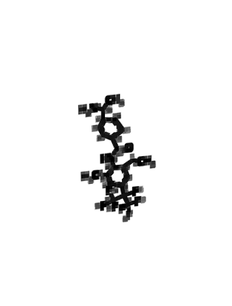 CCc1cc(C(F)(C(F)(F)F)C(F)(F)F)cc(C)c1NC(=O)c1ccc(C(C)N)cc1